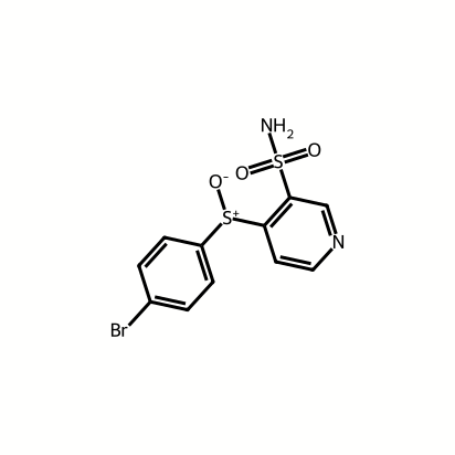 NS(=O)(=O)c1cnccc1[S+]([O-])c1ccc(Br)cc1